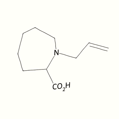 C=CCN1CCCCCC1C(=O)O